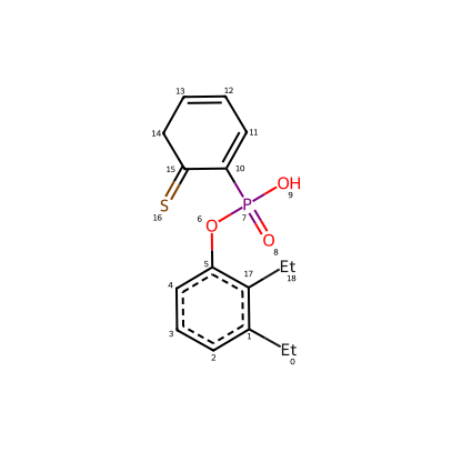 CCc1cccc(OP(=O)(O)C2=CC=CCC2=S)c1CC